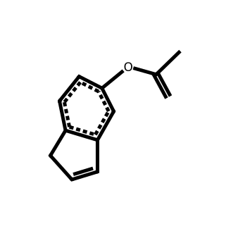 C=C(C)Oc1ccc2c(c1)C=CC2